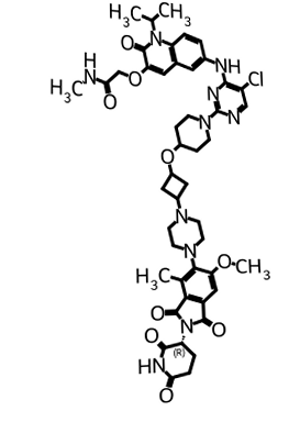 CNC(=O)COc1cc2cc(Nc3nc(N4CCC(OC5CC(N6CCN(c7c(OC)cc8c(c7C)C(=O)N([C@@H]7CCC(=O)NC7=O)C8=O)CC6)C5)CC4)ncc3Cl)ccc2n(C(C)C)c1=O